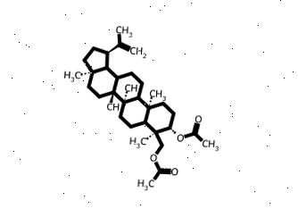 C=C(C)[C@@H]1CC[C@]2(C)CC[C@]3(C)C(CCC4[C@@]5(C)CC[C@H](OC(C)=O)[C@@](C)(COC(C)=O)C5CC[C@]43C)C12